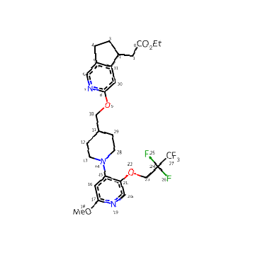 CCOC(=O)CC1CCc2cnc(OCC3CCN(c4cc(OC)ncc4OCC(F)(F)C(F)(F)F)CC3)cc21